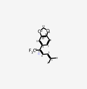 CC(C)=C/C=C(\c1ccc2c(c1)OCO2)C(F)(F)F